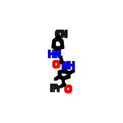 Cc1cc(C(=O)C(C)C)c(C)cc1NC(=O)CNc1ccc(C#N)cc1